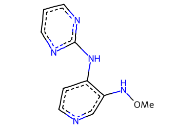 CONc1cnccc1Nc1ncccn1